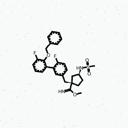 COC(=N)[C@@]1(Cc2ccc(F)c(-c3cccc(F)c3OCc3ccccc3)c2)CC[C@H](NS(C)(=O)=O)C1